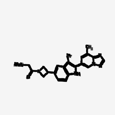 CNCC(=O)N1CC(c2ccc3[nH]c(-c4cc(C)c5ncnn5c4)c(C(C)C)c3c2)C1